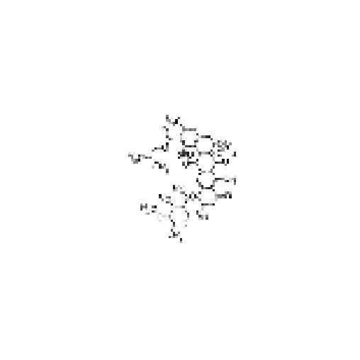 CO[C@@H]1[C@@H](O)[C@@H](CO)C(NC2=CC(=O)c3c(cc4c(c3O)C(=O)[C@]3(OC)[C@H](O)Cc5cc(C)c(C(=O)OCC(C)C)c(O)c5[C@]3(O)C4=O)C2=O)O[C@H]1C